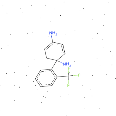 NC1=CCC(N)(c2ccccc2C(F)(F)F)C=C1